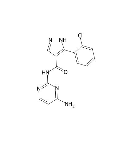 Nc1ccnc(NC(=O)c2cn[nH]c2-c2ccccc2Cl)n1